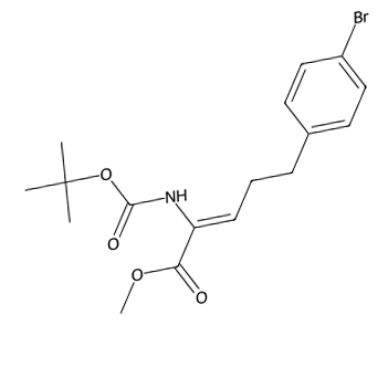 COC(=O)C(=CCCc1ccc(Br)cc1)NC(=O)OC(C)(C)C